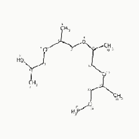 CC(O)COC(C)COC(C)COC(C)COP